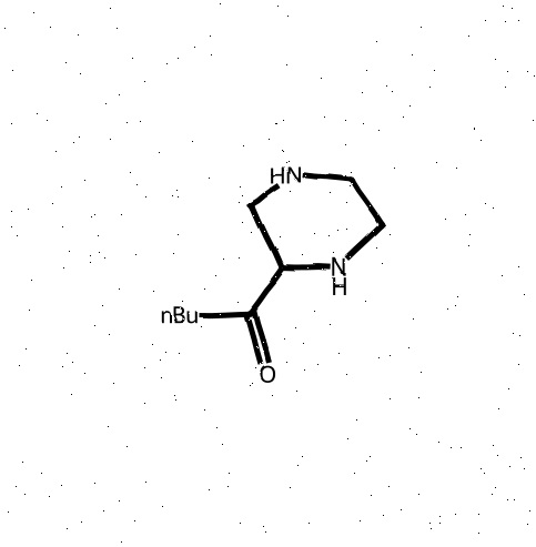 CCCCC(=O)C1CNCCN1